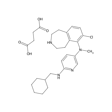 CN(c1ccc(NCC2CCCCC2)nc1)c1c(Cl)ccc2c1CCNCC2.O=C(O)CCC(=O)O